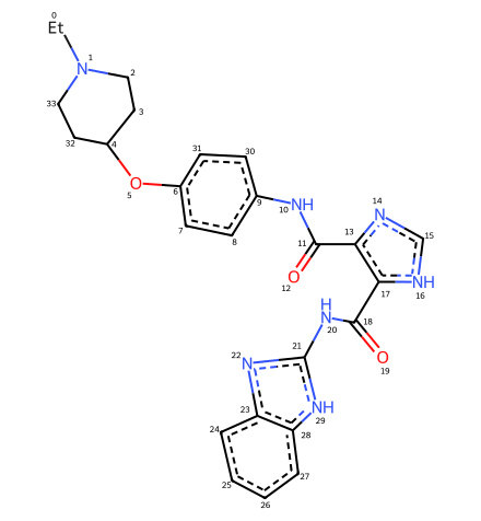 CCN1CCC(Oc2ccc(NC(=O)c3nc[nH]c3C(=O)Nc3nc4ccccc4[nH]3)cc2)CC1